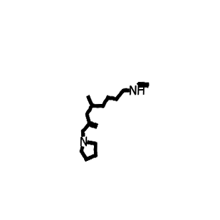 C=CNCCCCC(C)CC(=C)CN1CCCC1